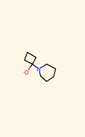 [O]C1(N2CCCCC2)CCC1